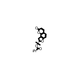 CC(C)C(=O)OC(C)(C)[C@@H]1Cc2c(ccc3ccc(=O)oc23)O1